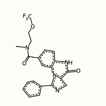 CN(CCOC(F)(F)F)C(=O)c1ccc2[nH]c(=O)c3cnc(-c4ccccc4)n3c2c1